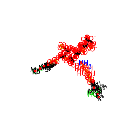 Cl.Cl.N.N.O=C([O-])CC(CC(=O)OS(=O)(=O)[O-])(OC(=O)CC(CC(=O)[O-])(OP(=O)([O-])OC(=O)CC(CC(=O)[O-])(OC(=O)OC(CC(=O)[O-])(CC(=O)OP(=O)([O-])OC(CC(=O)[O-])(CC(=O)OC(CC(=O)[O-])(CC(=O)OS(=O)(=O)[O-])C(=O)[O-])C(=O)[O-])C(=O)[O-])C(=O)[O-])C(=O)[O-])C(=O)[O-].O=P(O)(O)O.O=P(O)(O)O.O=S(=O)([O-])[O-].O=S(=O)([O-])[O-].O=S(=O)([O-])[O-].O=S(=O)([O-])[O-].[Cl][Mg][Cl].[Cl][Mg][Cl].[K+].[K+].[K+].[K+].[K+].[K+].[Mg+2].[Mg+2].[Mg+2].[Mg+2].[Mg+2].[Mg+2].[Na+].[Na+].[Na+].[Na+].[Na+].[Na+]